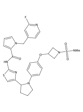 CNS(=O)(=O)N1CC(Oc2ccc(N3CCCC3c3csc(NC(=O)c4cccn4Cc4ccnc(F)c4)n3)cc2)C1